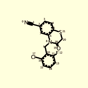 N#Cc1ccc2c(c1)N(Cc1c(F)cccc1Cl)C(=O)CS2